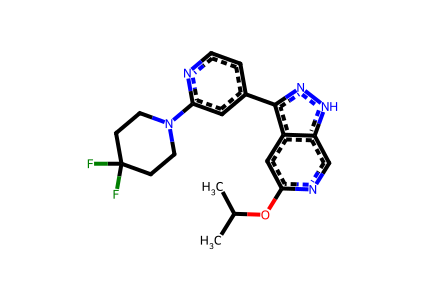 CC(C)Oc1cc2c(-c3ccnc(N4CCC(F)(F)CC4)c3)n[nH]c2cn1